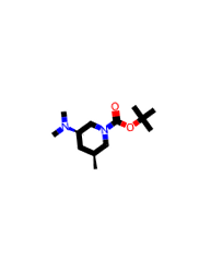 C[C@H]1C[C@@H](N(C)C)CN(C(=O)OC(C)(C)C)C1